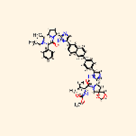 CCN(CC)[C@@H](C(=O)N1CCC[C@H]1c1ncc(-c2ccc3cc(-c4ccc(-c5cnc([C@@H]6CC7(COCO7)CN6C(=O)[C@@H](NC(=O)OC)C(C)C)[nH]5)cc4)ccc3c2)[nH]1)c1ccccc1